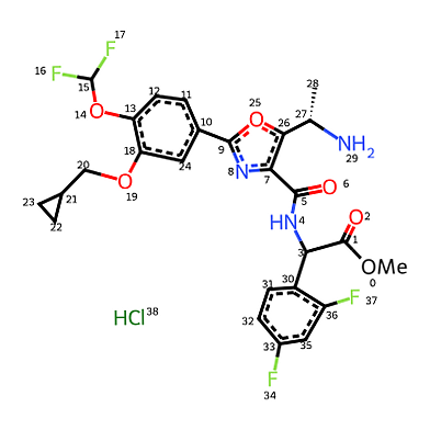 COC(=O)C(NC(=O)c1nc(-c2ccc(OC(F)F)c(OCC3CC3)c2)oc1[C@H](C)N)c1ccc(F)cc1F.Cl